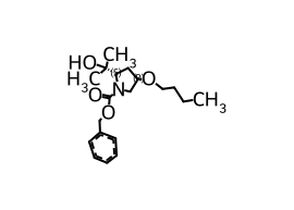 CCCCO[C@@H]1C[C@@H](C(C)(C)O)N(C(=O)OCc2ccccc2)C1